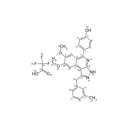 COc1cc2c(-c3ccc(O)cc3)nc3[nH]nc(Cc4cccc(C)c4)c3c2cc1OC.O=C(O)C(F)(F)F